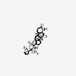 CC(C)(NC(=O)C1CC[C@H]2[C@@H]3CCC4NC(=O)CC[C@]4(C)[C@@H]3CC[C@]12C)c1ccco1